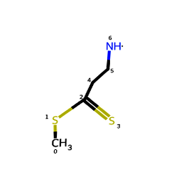 CSC(=S)CC[NH]